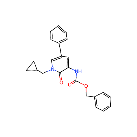 O=C(Nc1cc(-c2ccccc2)cn(CC2CC2)c1=O)OCc1ccccc1